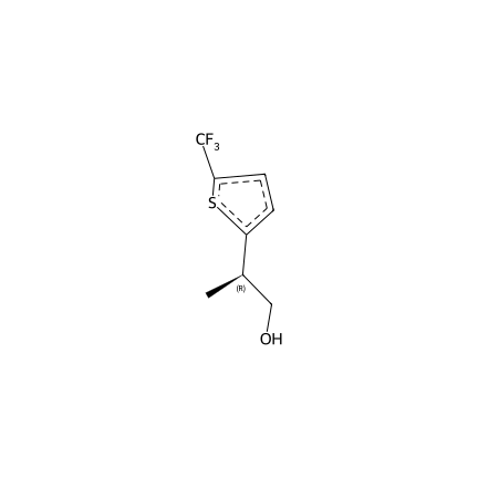 C[C@H](CO)c1ccc(C(F)(F)F)s1